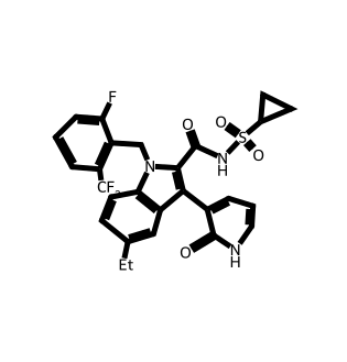 CCc1ccc2c(c1)c(-c1ccc[nH]c1=O)c(C(=O)NS(=O)(=O)C1CC1)n2Cc1c(F)cccc1C(F)(F)F